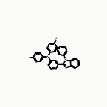 Fc1ccc(N(c2ccc(F)cc2)c2cccc(-c3nc4ccccc4n3-c3ccccc3)c2)cc1